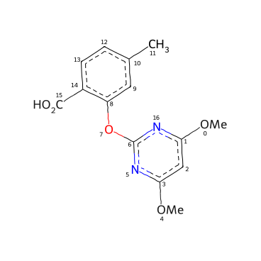 COc1cc(OC)nc(Oc2cc(C)ccc2C(=O)O)n1